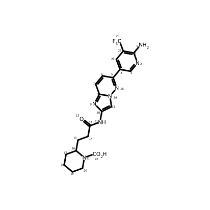 Nc1ncc(-c2ccc3nc(NC(=O)CCC4CCCCN4C(=O)O)cn3n2)cc1C(F)(F)F